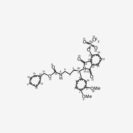 COc1ccc([C@@H](CCCNC(=O)OCc2ccccc2)N2C(=O)c3cccc(OS(=O)(=O)C(F)(F)F)c3C2=O)cc1OC